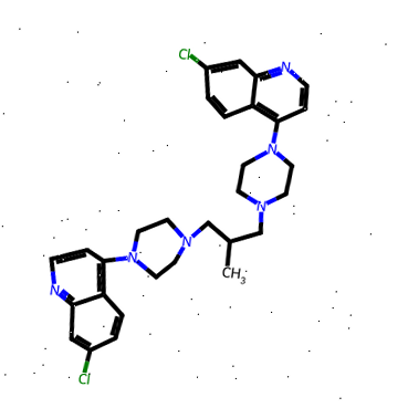 CC(CN1CCN(c2ccnc3cc(Cl)ccc23)CC1)CN1CCN(c2ccnc3cc(Cl)ccc23)CC1